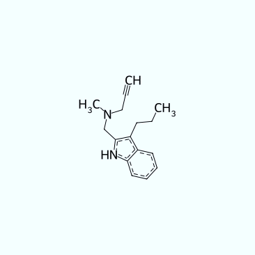 C#CCN(C)Cc1[nH]c2ccccc2c1CCC